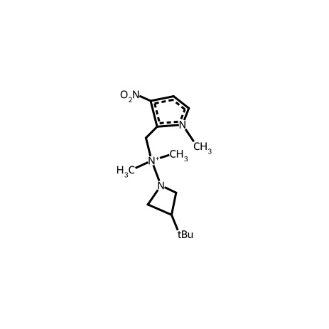 Cn1ccc([N+](=O)[O-])c1C[N+](C)(C)N1CC(C(C)(C)C)C1